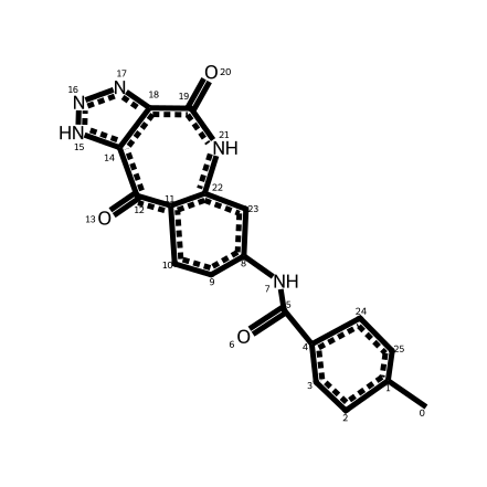 Cc1ccc(C(=O)Nc2ccc3c(=O)c4[nH]nnc4c(=O)[nH]c3c2)cc1